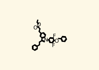 CCOC(=O)CCc1ccc2c(c1)c(CCc1ccccc1)cn2-c1cc(F)c(OCc2ccccc2)c(F)c1